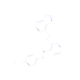 O=C(Nc1ccc(C(F)(F)F)cc1)c1cc(F)cnc1NCc1ccnc2[nH]ncc12